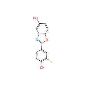 Oc1ccc2oc(-c3ccc(O)c(F)c3)nc2c1